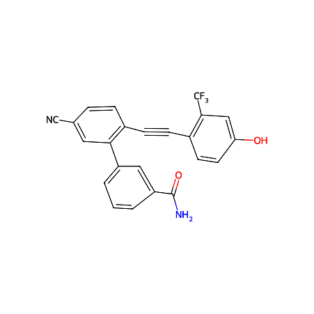 N#Cc1ccc(C#Cc2ccc(O)cc2C(F)(F)F)c(-c2cccc(C(N)=O)c2)c1